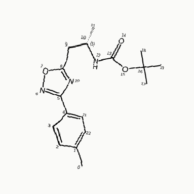 Cc1ccc(-c2noc(C[C@H](C)NC(=O)OC(C)(C)C)n2)cc1